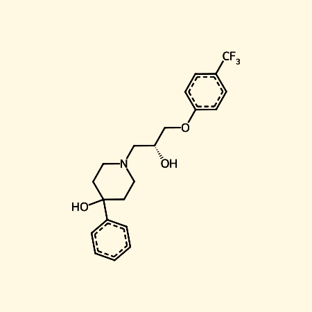 O[C@@H](COc1ccc(C(F)(F)F)cc1)CN1CCC(O)(c2ccccc2)CC1